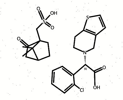 CC1(C)C2CCC1(CS(=O)(=O)O)C(=O)C2.O=C(O)[C@H](c1ccccc1Cl)N1CCc2sccc2C1